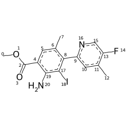 COC(=O)c1cc(C)c(-c2cc(C)c(F)cn2)c(I)c1N